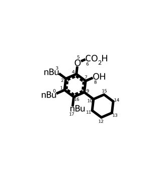 CCCCc1c(CCCC)c(OC(=O)O)c(O)c(C2CCCCC2)c1CCCC